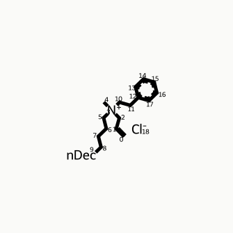 C=CC[N+](C)(CCCCCCCCCCCCCC)CCc1ccccc1.[Cl-]